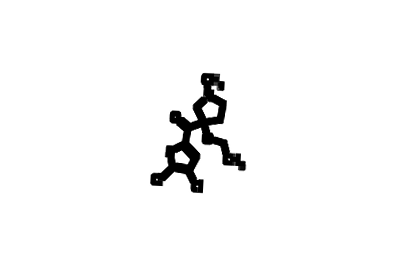 CCOC1(C(=O)c2cc(Cl)c(Cl)s2)CCN(C)C1